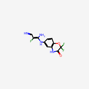 N=C/C(F)=C(\N)Nc1ccc2c(c1)NC(=O)C(F)(F)O2